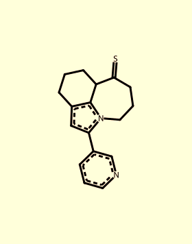 S=C1CCCn2c(-c3cccnc3)cc3c2C1CCC3